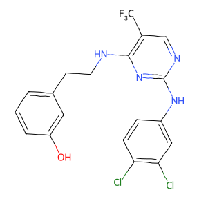 Oc1cccc(CCNc2nc(Nc3ccc(Cl)c(Cl)c3)ncc2C(F)(F)F)c1